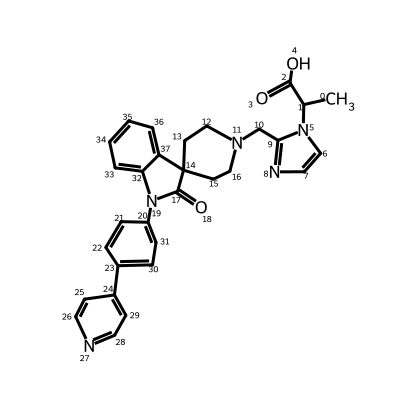 CC(C(=O)O)n1ccnc1CN1CCC2(CC1)C(=O)N(c1ccc(-c3ccncc3)cc1)c1ccccc12